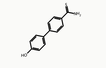 NC(=S)c1ccc(-c2ccc(O)cc2)cc1